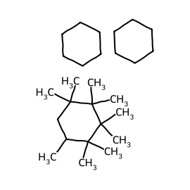 C1CCCCC1.C1CCCCC1.CC1CC(C)(C)C(C)(C)C(C)(C)C1(C)C